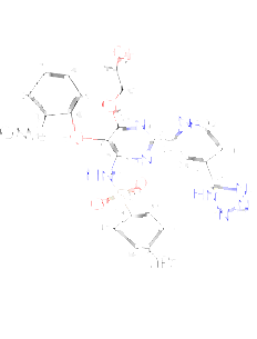 COc1ccccc1Oc1c(NS(=O)(=O)c2ccc(C(C)C)cc2)nc(-c2cc(-c3nnn[nH]3)ccn2)nc1OCCO